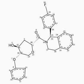 O=C([C@H]1C[C@H](O)[C@@H](Oc2ccccc2)CO1)N1CCc2ccccc2[C@@H]1c1ccc(F)cc1